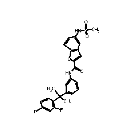 CC(C)(c1cccc(NC(=O)c2cc3cc(NS(C)(=O)=O)ccc3o2)c1)c1ccc(F)cc1F